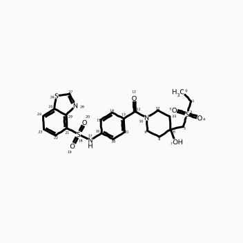 CCS(=O)(=O)CC1(O)CCN(C(=O)c2ccc(NS(=O)(=O)c3cccc4scnc34)cc2)CC1